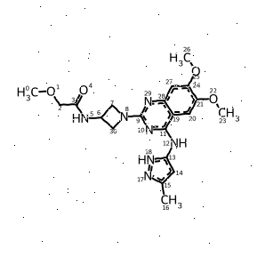 COCC(=O)NC1CN(c2nc(Nc3cc(C)n[nH]3)c3cc(OC)c(OC)cc3n2)C1